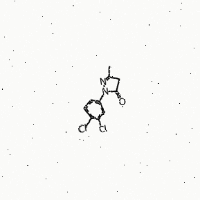 CC1=NN(c2ccc(Cl)c(Cl)c2)C(=O)C1